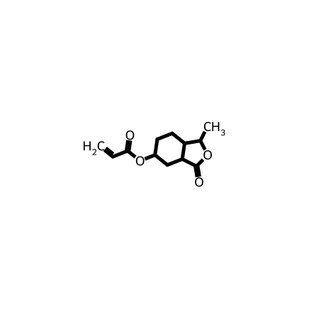 C=CC(=O)OC1CCC2C(C)OC(=O)C2C1